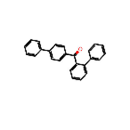 O=C(c1ccc(-c2ccccc2)cc1)c1ccccc1-c1ccccc1